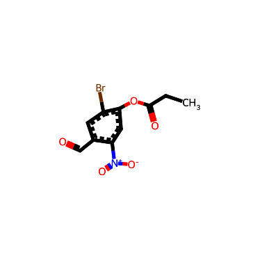 CCC(=O)Oc1cc([N+](=O)[O-])c(C=O)cc1Br